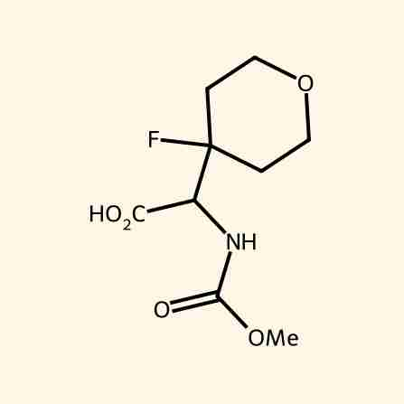 COC(=O)NC(C(=O)O)C1(F)CCOCC1